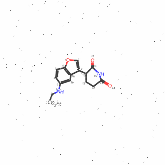 CCOC(=O)CNc1ccc2occ(C3CCC(=O)NC3=O)c2c1